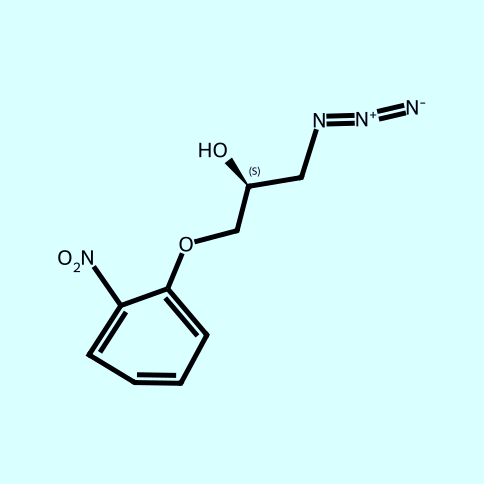 [N-]=[N+]=NC[C@H](O)COc1ccccc1[N+](=O)[O-]